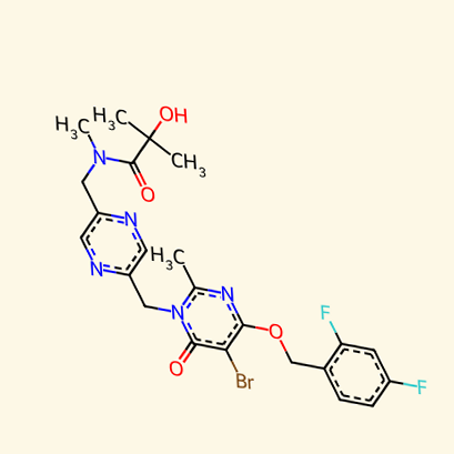 Cc1nc(OCc2ccc(F)cc2F)c(Br)c(=O)n1Cc1cnc(CN(C)C(=O)C(C)(C)O)cn1